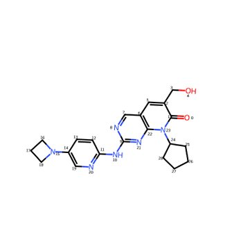 O=c1c(CO)cc2cnc(Nc3ccc(N4CCC4)cn3)nc2n1C1CCCC1